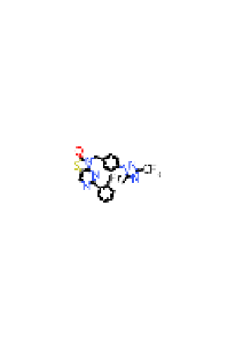 Cc1nc(C(F)(F)F)nn1-c1ccc(Cn2c(=O)sc3cnc(-c4ccccc4C(C)C)nc32)cc1